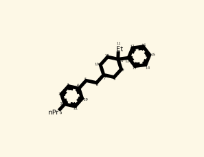 CCCc1ccc(CCC2CCC(CC)(c3ccccc3)CC2)cc1